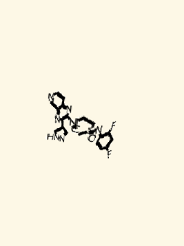 O=S1(=Nc2ccc(F)cc2F)CCN(c2nc3ccncc3nc2-c2cn[nH]c2)CC1